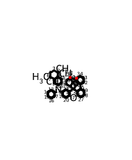 CC1(C)CCC(C)(C)c2cc(N(c3ccccc3)c3ccc4c(c3)C3(c5c(cccc5-c5ccccc5)O4)C4CC5CC6CC3C64C5)ccc21